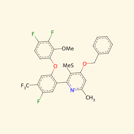 COc1c(Oc2cc(C(F)(F)F)c(F)cc2-c2nc(C)cc(OCc3ccccc3)c2SC)ccc(F)c1F